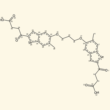 Cc1cc2[se]c(C(=O)CCC(=O)O)cc2cc1OCCCOc1cc2cc(C(=O)CCC(=O)O)[se]c2cc1C